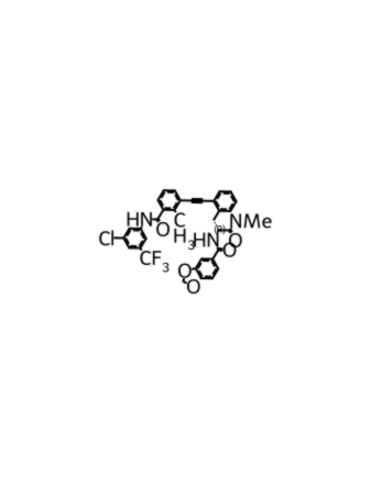 CNC(=O)[C@@H](Cc1ccccc1C#Cc1cccc(C(=O)Nc2cc(Cl)cc(C(F)(F)F)c2)c1C)NC(=O)c1ccc2c(c1)OCO2